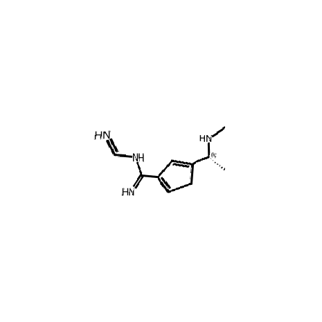 CN[C@H](C)C1=CC(C(=N)NC=N)=CC1